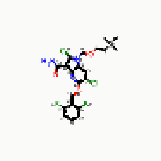 C[Si](C)(C)CCOCn1c(Cl)c(C(N)=O)c2nc(OCc3c(F)cccc3F)c(Cl)cc21